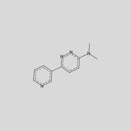 CN(C)c1ccc(-c2cccnc2)nn1